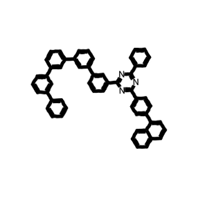 c1ccc(-c2cccc(-c3cccc(-c4cccc(-c5cccc(-c6nc(-c7ccccc7)nc(-c7ccc(-c8cccc9ccccc89)cc7)n6)c5)c4)c3)c2)cc1